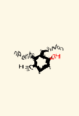 CCCCCCCCCCc1c(O)ccc(C)c1CCCCC